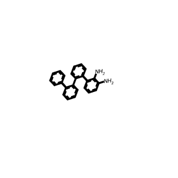 Nc1cccc(-c2ccccc2-c2ccccc2-c2ccccc2)c1N